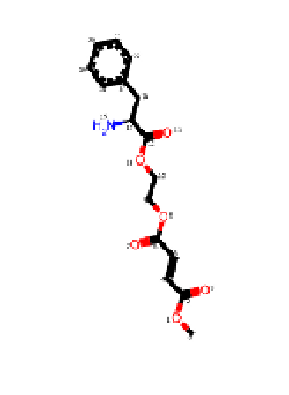 COC(=O)/C=C/C(=O)OCCOC(=O)[C@@H](N)Cc1ccccc1